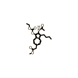 CCCCc1c2ccc(CC(=O)OC)ccc-2c(OC(=O)OCC)c1NC(C)=O